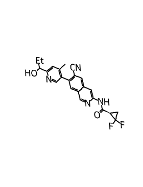 CCC(O)c1cc(C)c(-c2cc3cnc(NC(=O)[C@H]4CC4(F)F)cc3cc2C#N)cn1